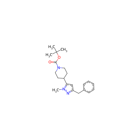 Cn1nc(Cc2ccccc2)cc1C1CCN(C(=O)OC(C)(C)C)CC1